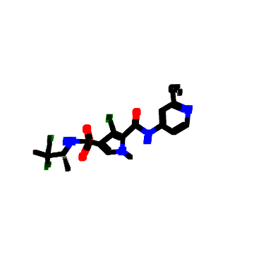 C[C@@H](NS(=O)(=O)c1cn(C)c(C(=O)Nc2ccnc(C(F)(F)F)c2)c1F)C(C)(F)F